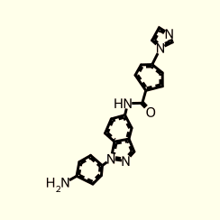 Nc1ccc(-n2ncc3cc(NC(=O)c4ccc(-n5ccnc5)cc4)ccc32)cc1